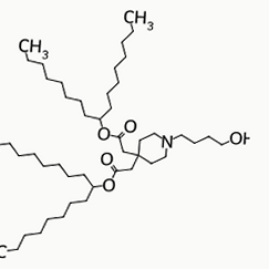 CCCCCCCCC(CCCCCCCC)OC(=O)CC1(CC(=O)OC(CCCCCCCC)CCCCCCCC)CCN(CCCCO)CC1